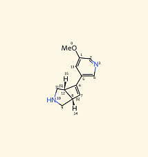 COc1cncc(C2=C[C@@H]3CNC[C@H]23)c1